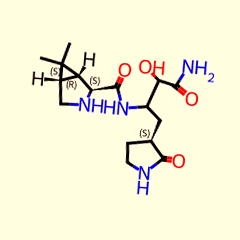 CC1(C)[C@@H]2[C@@H](C(=O)NC(C[C@@H]3CCNC3=O)C(O)C(N)=O)NC[C@@H]21